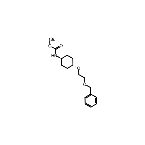 CC(C)(C)OC(=O)N[C@H]1CC[C@H](OCCOCc2ccccc2)CC1